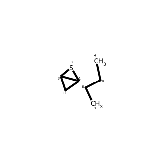 C1C2SC12.CCCC